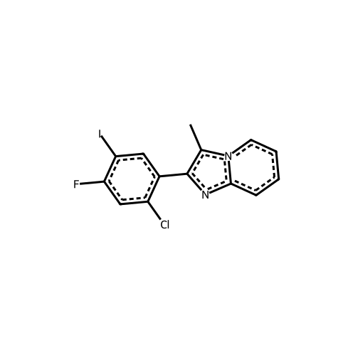 Cc1c(-c2cc(I)c(F)cc2Cl)nc2ccccn12